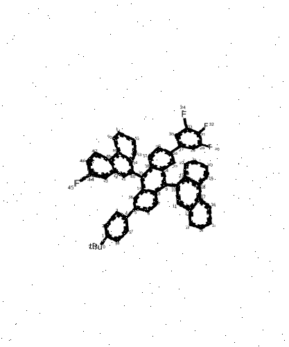 CC(C)(C)c1ccc(-c2ccc3c(-c4cc5ccccc5c5ccccc45)c4cc(-c5cc(F)c(F)c(F)c5)ccc4c(-c4cc5cc(F)ccc5c5ccccc45)c3c2)cc1